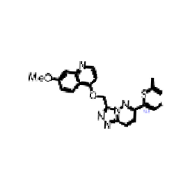 C=C(C)S/C(=C\C)c1ccc2nnc(COc3ccnc4cc(OC)ccc34)n2n1